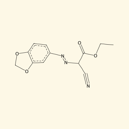 CCOC(=O)C(C#N)N=Nc1ccc2c(c1)OCO2